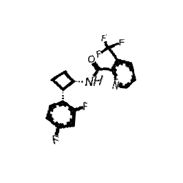 O=C(N[C@H]1CC[C@H]1c1ccc(F)cc1F)c1ncccc1C(F)(F)F